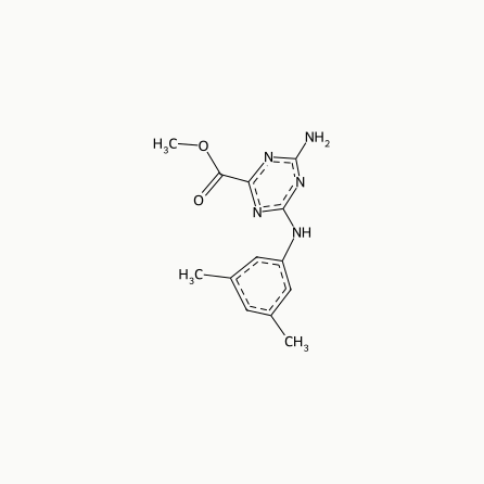 COC(=O)c1nc(N)nc(Nc2cc(C)cc(C)c2)n1